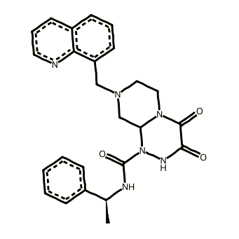 C[C@H](NC(=O)N1NC(=O)C(=O)N2CCN(Cc3cccc4cccnc34)CC21)c1ccccc1